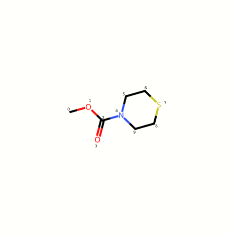 COC(=O)N1CCSCC1